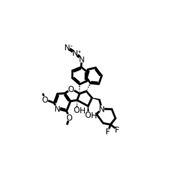 COc1cc2c(c(OC)n1)[C@]1(O)[C@H](O)[C@H](CN3CCC(F)(F)CC3)[C@@H](c3ccccc3)[C@]1(c1ccc(N=[N+]=[N-])cc1)O2